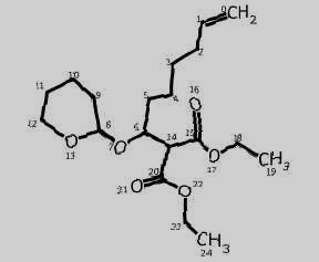 C=CCCCCC(OC1CCCCO1)C(C(=O)OCC)C(=O)OCC